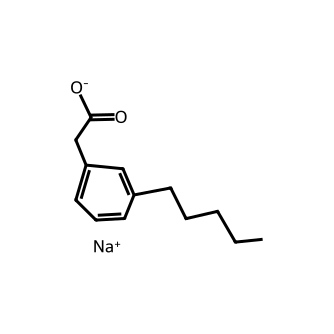 CCCCCc1cccc(CC(=O)[O-])c1.[Na+]